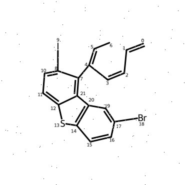 C=C/C=C\C(=C/C)c1c(I)ccc2sc3ccc(Br)cc3c12